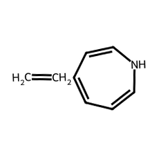 C1=CC=CNC=C1.C=C